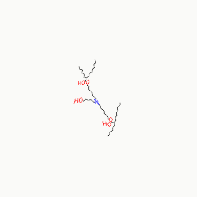 CCCCCCCCC(CCCCCC)C(O)OCCCCCCN(CCCCCO)CCCCCCOC(O)C(CCCCCC)CCCCCCCC